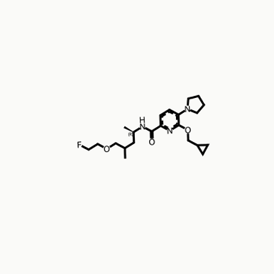 CC(COCCF)C[C@@H](C)NC(=O)c1ccc(N2CCCC2)c(OCC2CC2)n1